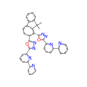 CC1(C)c2ccccc2-c2ccc(-c3nnc(-c4cccc(-c5ccccn5)n4)o3)c(-c3nnc(-c4cccc(-c5ccccn5)n4)o3)c21